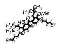 COc1c(OCCCCBr)cc2oc3cc(OCCCCBr)c(CC=C(C)C)c(O)c3c(=O)c2c1CC=C(C)C